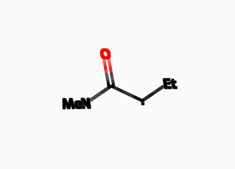 CC[CH]C(=O)NC